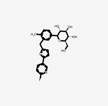 Cc1ccc(C2O[C@H](CO)[C@@H](O)[C@H](O)[C@H]2O)cc1Cc1ccc(-c2ccc(F)nc2)s1